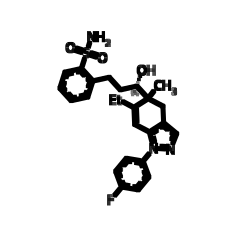 CCC1=Cc2c(cnn2-c2ccc(F)cc2)CC1(C)[C@@H](O)CCc1ccccc1S(N)(=O)=O